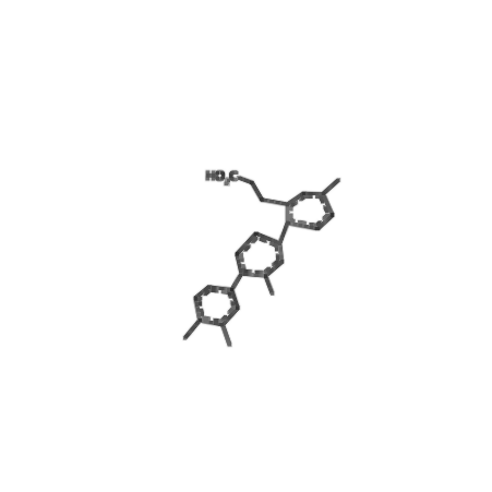 Cc1ccc(-c2ccc(-c3ccc(C)c(C)c3)c(C)c2)c(CCC(=O)O)c1